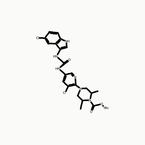 CC1CN(c2ncc(NC(=O)Nc3c[nH]c4ccc(Cl)cc34)cc2Cl)CC(C)N1C(=O)OC(C)(C)C